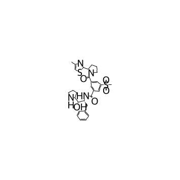 Cc1csc(C2CCCN2C(=O)c2cc(C(=O)N[C@@H](Cc3ccccc3)[C@H](O)C3CCCN3)cc(S(C)(=O)=O)c2)n1